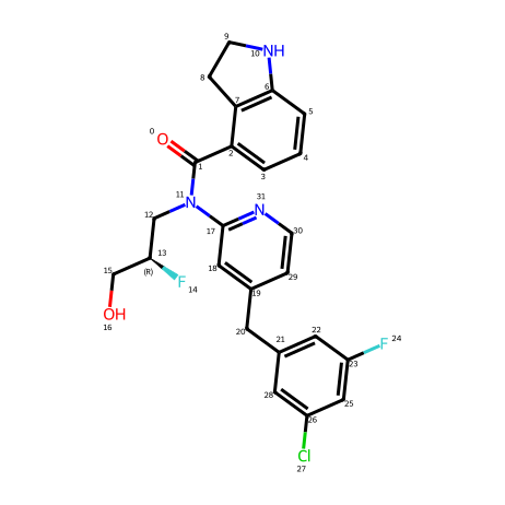 O=C(c1cccc2c1CCN2)N(C[C@@H](F)CO)c1cc(Cc2cc(F)cc(Cl)c2)ccn1